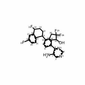 Nc1cncnc1-c1ccc(C2CCC(F)c3cc(F)ccc32)c2c1C(O)C(F)(F)C2